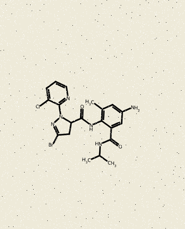 Cc1cc(N)cc(C(=O)NC(C)C)c1NC(=O)C1CC(Br)=NN1c1ncccc1Cl